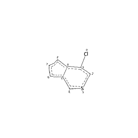 Clc1cscc2cc[c]c1-2